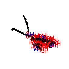 CCCCCCCCCCCCC/C=C/[C@@H](O)[C@H](CO[C@@H]1OC(CO)[C@@H](O[C@@H]2OC(CO)[C@H](O[C@@H]3OC(CO[C@]4(C(=O)O)CC(O)[C@@H](NC(C)=O)C([C@H](O)[C@H](O)CO)O4)[C@H](O)[C@H](O[C@@H]4OC(CO)[C@H](O)[C@H](O[C@]5(C(=O)O)CC(O)[C@@H](NC(C)=O)C([C@H](O)[C@H](O)CO)O5)C4O)C3NC(C)=O)[C@H](O)C2O)[C@H](O)C1O)NC(=O)CCCCCCCCCCCCCCCCC